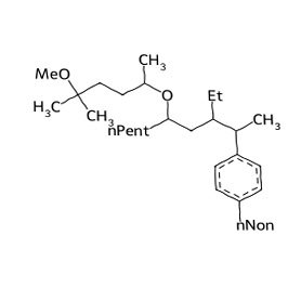 CCCCCCCCCc1ccc(C(C)C(CC)CC(CCCCC)OC(C)CCC(C)(C)OC)cc1